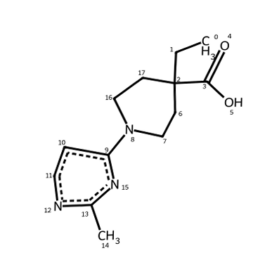 CCC1(C(=O)O)CCN(c2ccnc(C)n2)CC1